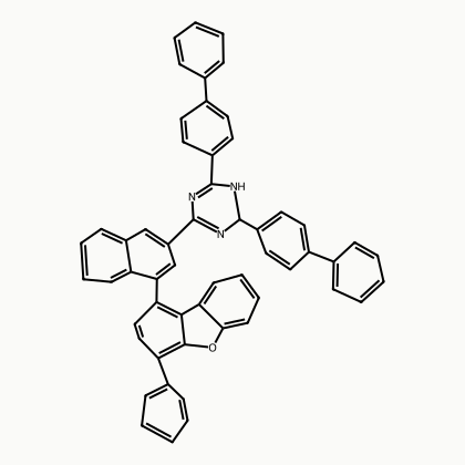 c1ccc(-c2ccc(C3=NC(c4cc(-c5ccc(-c6ccccc6)c6oc7ccccc7c56)c5ccccc5c4)=NC(c4ccc(-c5ccccc5)cc4)N3)cc2)cc1